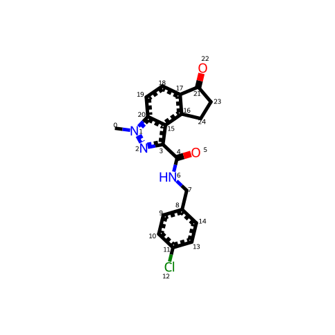 Cn1nc(C(=O)NCc2ccc(Cl)cc2)c2c3c(ccc21)C(=O)CC3